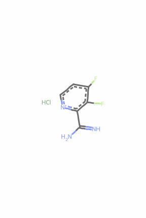 Cl.N=C(N)c1nccc(F)c1F